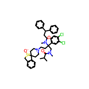 CC(C)C(=O)N(C)CC(CCN1CCC2(CC1)c1ccccc1C[S@+]2[O-])(c1ccc(Cl)c(Cl)c1)N(C)C(=O)CC(c1ccccc1)c1ccccc1